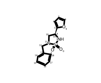 O=S1(=O)N[C@H](c2ccco2)CN1Cc1ccccc1